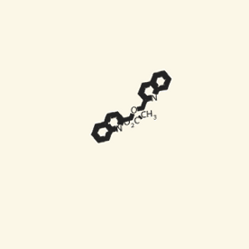 CC(=O)O.c1ccc2nc(COCc3ccc4ccccc4n3)ccc2c1